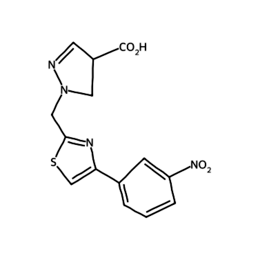 O=C(O)C1C=NN(Cc2nc(-c3cccc([N+](=O)[O-])c3)cs2)C1